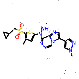 Cc1cc(N(N)c2nccn3c(-c4cnn(C)c4)cnc23)sc1S(=O)(=O)CC1CC1